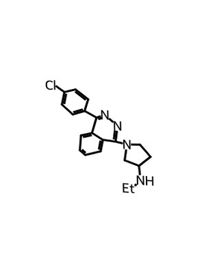 CCNC1CCN(c2nnc(-c3ccc(Cl)cc3)c3ccccc23)C1